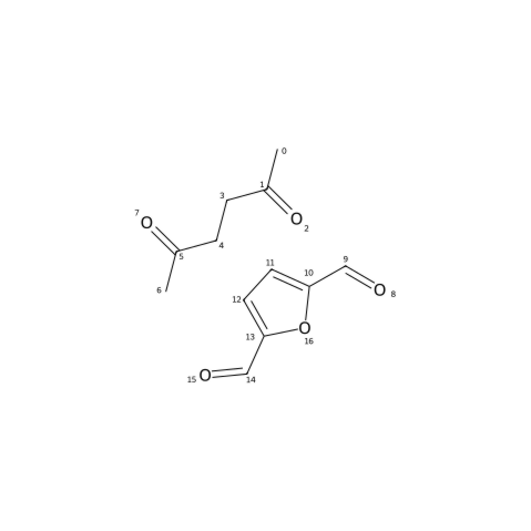 CC(=O)CCC(C)=O.O=Cc1ccc(C=O)o1